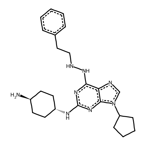 N[C@H]1CC[C@H](Nc2nc(NNCCc3ccccc3)c3ncn(C4CCCC4)c3n2)CC1